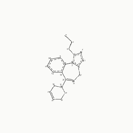 CCCc1nnc2n1-c1ccccc1C(N1CC=CCC1)=NC2